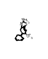 Nc1nc2cc(-c3ccccc3)c(C(F)(F)F)cc2s1